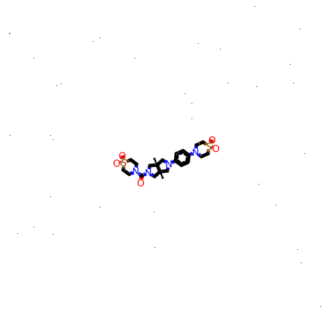 C[C@@]12CN(C(=O)N3CCS(=O)(=O)CC3)C[C@]1(C)CN(c1ccc(N3CCS(=O)(=O)CC3)cc1)C2